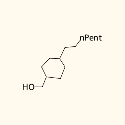 CCCCCCCC1CCC(CO)CC1